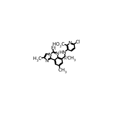 CCc1nc2c([C@@H](C)Nc3ccc(Cl)nc3C(=O)O)cc(C)cc2c2nc(C)cn12